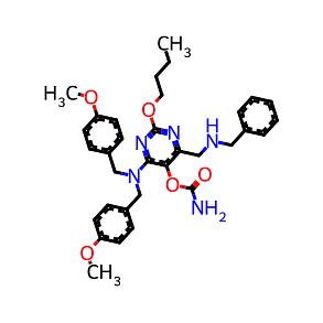 CCCCOc1nc(CNCc2ccccc2)c(OC(N)=O)c(N(Cc2ccc(OC)cc2)Cc2ccc(OC)cc2)n1